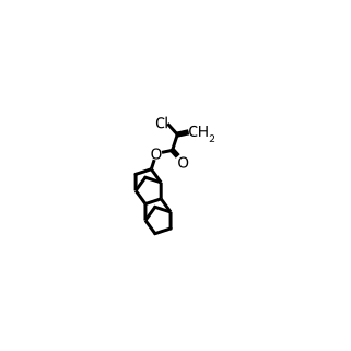 C=C(Cl)C(=O)OC1CC2CC1C1C3CCC(C3)C21